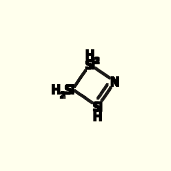 N1=[SiH][SiH2][SiH2]1